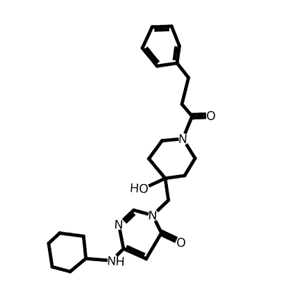 O=C(CCc1ccccc1)N1CCC(O)(Cn2cnc(NC3CCCCC3)cc2=O)CC1